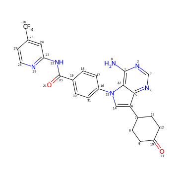 Nc1ncnc2c(C3CCC(=O)CC3)cn(-c3ccc(C(=O)Nc4cc(C(F)(F)F)ccn4)cc3)c12